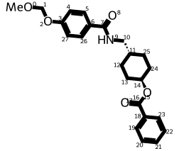 COCOc1ccc(C(=O)NC[C@H]2CC[C@H](OC(=O)c3ccccc3)CC2)cc1